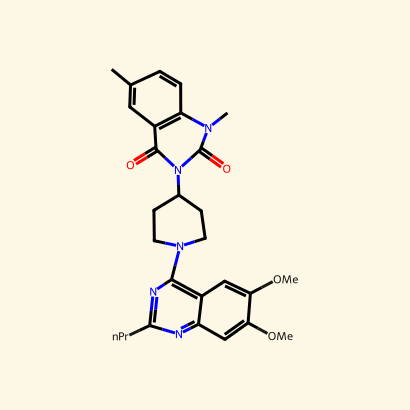 CCCc1nc(N2CCC(n3c(=O)c4cc(C)ccc4n(C)c3=O)CC2)c2cc(OC)c(OC)cc2n1